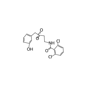 O=C(NCCS(=O)(=O)Cc1cccc(O)c1)c1c(Cl)cccc1Cl